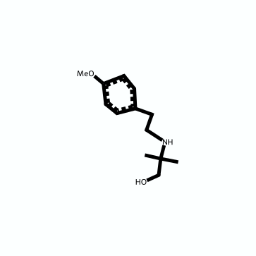 COc1ccc(CCNC(C)(C)CO)cc1